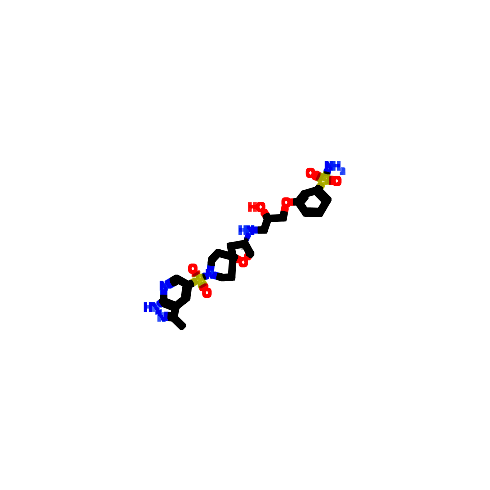 Cc1n[nH]c2ncc(S(=O)(=O)N3CCC4(CC3)C[C@@H](NCC(O)COc3cccc(S(N)(=O)=O)c3)CO4)cc12